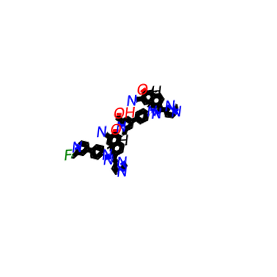 C[C@H]1C(=O)C(C#N)=C[C@@]2(C)c3c(c(-c4ccncn4)nn3-c3ccc(-c4cc(CO)nc(C[C@H]5C(=O)C(C#N)=C[C@@]6(C)c7c(c(-c8ccncn8)nn7-c7ccc(-c8ccnc(CF)c8)cc7)CC[C@H]56)c4)cc3)CC[C@H]12